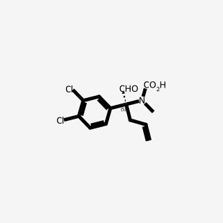 C=CC[C@@](C=O)(c1ccc(Cl)c(Cl)c1)N(C)C(=O)O